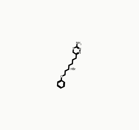 Br.NC1=NN=C(CCCCCCCOc2ccccc2)CS1